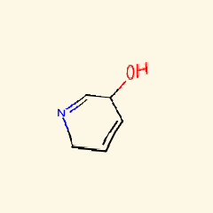 OC1C=CCN=C1